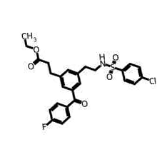 CCOC(=O)CCc1cc(CCNS(=O)(=O)c2ccc(Cl)cc2)cc(C(=O)c2ccc(F)cc2)c1